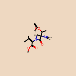 [C-]#[N+]C1(C(C)O)C(=O)N(C(C(=O)OC)=C(C)C)[C@@H]1CC=C